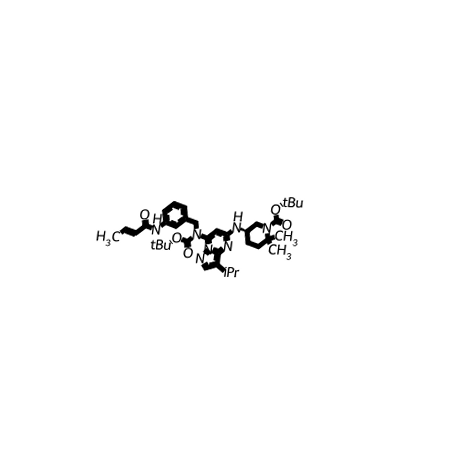 C/C=C/C(=O)Nc1cccc(CN(C(=O)OC(C)(C)C)c2cc(N[C@@H]3CCC(C)(C)N(C(=O)OC(C)(C)C)C3)nc3c(C(C)C)cnn23)c1